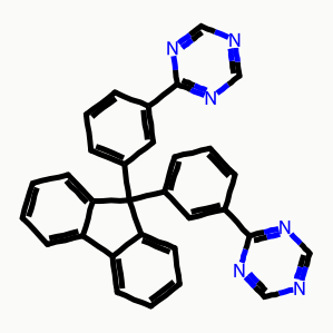 c1cc(-c2ncncn2)cc(C2(c3cccc(-c4ncncn4)c3)c3ccccc3-c3ccccc32)c1